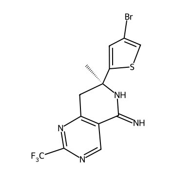 C[C@@]1(c2cc(Br)cs2)Cc2nc(C(F)(F)F)ncc2C(=N)N1